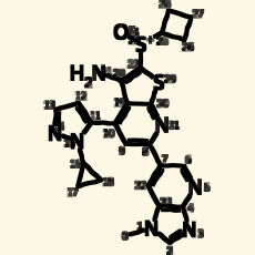 Cn1cnc2ncc(-c3cc(-c4ccnn4C4CC4)c4c(N)c([S+]([O-])C5CCC5)sc4n3)cc21